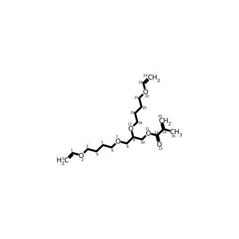 C=COCCCCOCC(COC(=O)C(=C)C)OCCCCOC=C